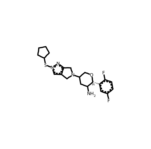 NC1CC(N2Cc3cn(SC4CCCC4)nc3C2)CO[C@@H]1c1cc(F)ccc1F